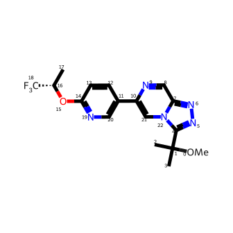 COC(C)(C)c1nnc2cnc(-c3ccc(O[C@@H](C)C(F)(F)F)nc3)cn12